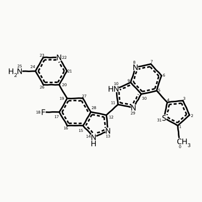 Cc1ccc(-c2ccnc3[nH]c(-c4n[nH]c5cc(F)c(-c6cncc(N)c6)cc45)nc23)s1